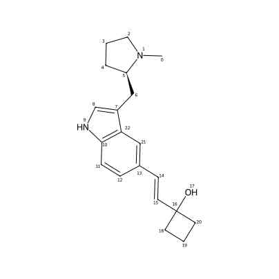 CN1CCC[C@@H]1Cc1c[nH]c2ccc(/C=C/C3(O)CCC3)cc12